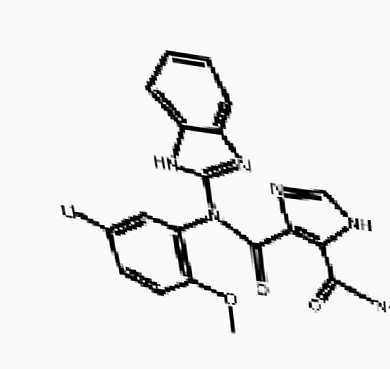 COc1ccc(Cl)cc1N(C(=O)c1nc[nH]c1C(N)=O)c1nc2ccccc2[nH]1